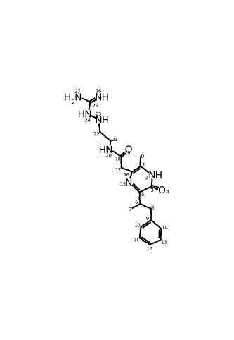 Cc1[nH]c(=O)c(C(C)Cc2ccccc2)nc1CC(=O)NCCNNC(=N)N